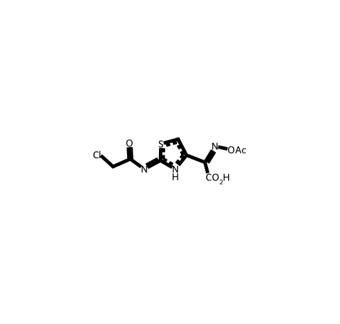 CC(=O)ON=C(C(=O)O)c1csc(=NC(=O)CCl)[nH]1